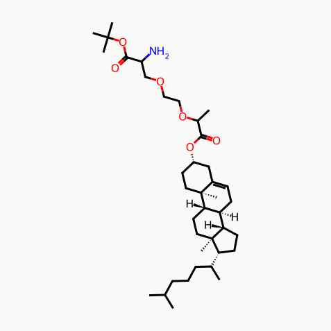 CC(C)CCCC(C)[C@H]1CC[C@H]2[C@@H]3CC=C4C[C@@H](OC(=O)C(C)OCCOCC(N)C(=O)OC(C)(C)C)CC[C@]4(C)[C@H]3CC[C@]12C